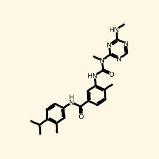 CNc1ncnc(N(C)C(=O)Nc2cc(C(=O)Nc3ccc(C(C)C)c(C)c3)ccc2C)n1